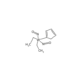 C[CH2][W]([CH2]C)([N]=O)([N]=O)[C]1=CC=CC1